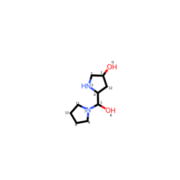 OC1CNC(C(O)N2CCCC2)C1